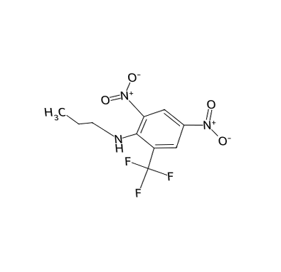 CCCNc1c([N+](=O)[O-])cc([N+](=O)[O-])cc1C(F)(F)F